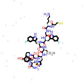 C[C@@]1(C(=O)N[C@@H](CS)C(N)=O)CCCN1C(=O)[C@H](Cc1ccc(O)cc1)NC(=O)[C@H](Cc1cnc[nH]1)NC(=O)[C@H](CC(=O)O)NC(=O)[C@H](Cc1c[nH]c2ccc(F)cc12)NC(=O)[C@H](Cc1c[nH]c2ccc(F)cc12)NC(=O)CNC(=O)[C@H](CCCCN)NC(=O)CCS